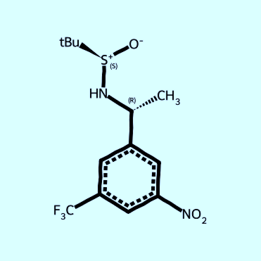 C[C@@H](N[S@+]([O-])C(C)(C)C)c1cc([N+](=O)[O-])cc(C(F)(F)F)c1